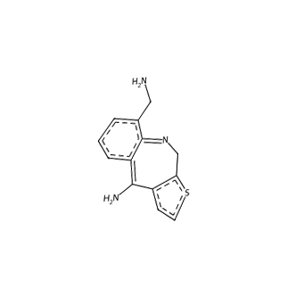 NCc1cccc2c1=NCc1sccc1C=2N